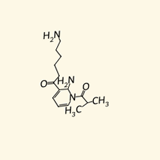 CC(C)C(=O)N1C=CC=C(C(=O)CCCCCN)C1N